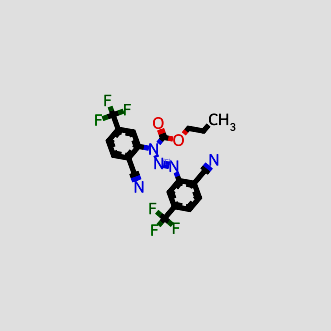 CCCOC(=O)N(/N=N/c1cc(C(F)(F)F)ccc1C#N)c1cc(C(F)(F)F)ccc1C#N